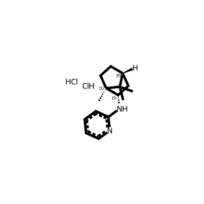 CC1(C)[C@@H]2CC[C@]1(C)[C@@H](Nc1ccccn1)C2.Cl.Cl